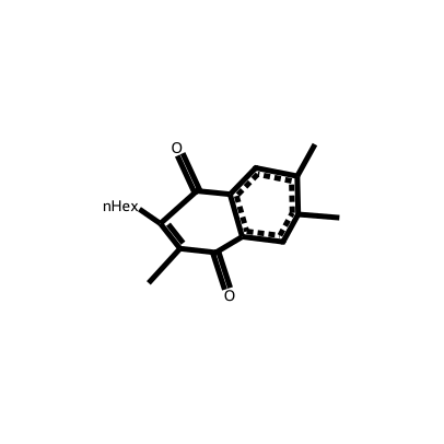 CCCCCCC1=C(C)C(=O)c2cc(C)c(C)cc2C1=O